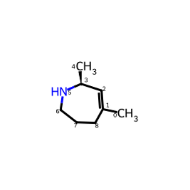 CC1=C[C@H](C)NCCC1